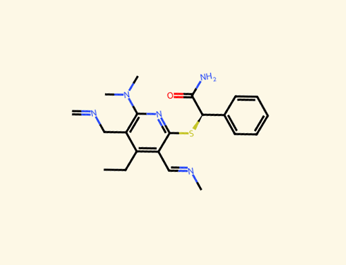 C=NCc1c(N(C)C)nc(S[C@@H](C(N)=O)c2ccccc2)c(/C=N/C)c1CC